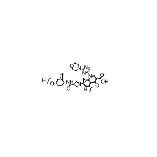 COC1=CNC(NC(=O)C2CN(c3cc(C)c4c(=O)c(C(=O)O)cn(-c5nc(N6CCOCC6)ns5)c4n3)C2)C=C1